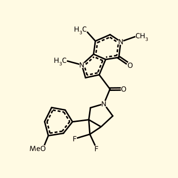 COc1cccc(C23CN(C(=O)c4cn(C)c5c(C)cn(C)c(=O)c45)CC2C3(F)F)c1